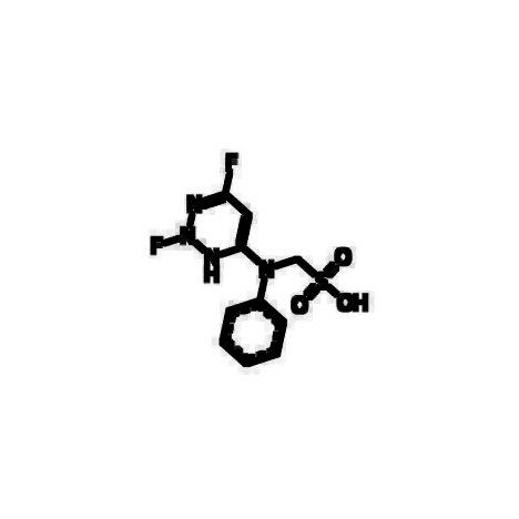 O=S(=O)(O)CN(C1=CC(F)=NN(F)N1)c1ccccc1